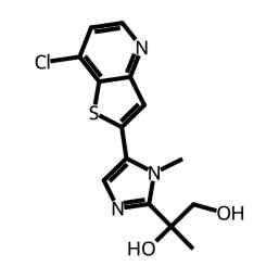 Cn1c(-c2cc3nccc(Cl)c3s2)cnc1C(C)(O)CO